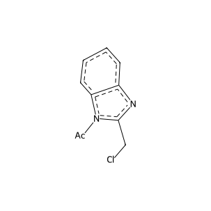 CC(=O)n1c(CCl)nc2ccccc21